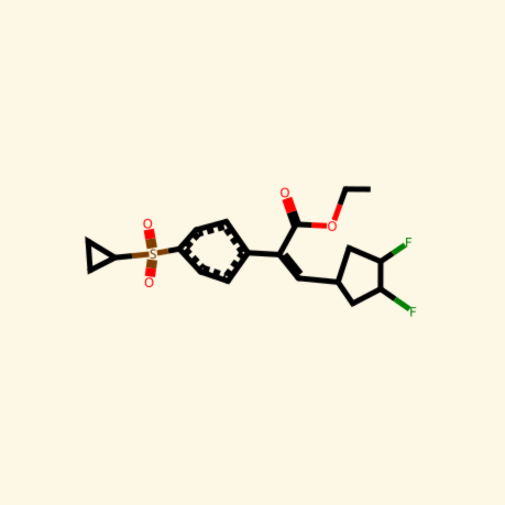 CCOC(=O)C(=CC1CC(F)C(F)C1)c1ccc(S(=O)(=O)C2CC2)cc1